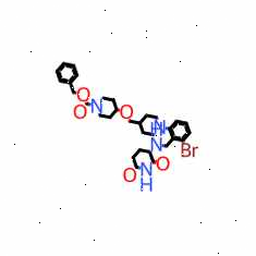 O=C1CCC(NCc2c(Br)cccc2N2CCC(COC3CCN(C(=O)OCc4ccccc4)CC3)CC2)C(=O)N1